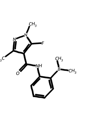 CB(C)c1ccccc1NC(=O)c1c(C)nn(C)c1F